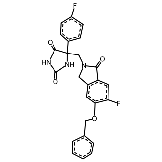 O=C1NC(=O)C(CN2Cc3cc(OCc4ccccc4)c(F)cc3C2=O)(c2ccc(F)cc2)N1